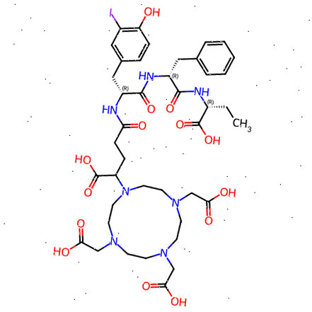 CC[C@@H](NC(=O)[C@@H](Cc1ccccc1)NC(=O)[C@@H](Cc1ccc(O)c(I)c1)NC(=O)CCC(C(=O)O)N1CCN(CC(=O)O)CCN(CC(=O)O)CCN(CC(=O)O)CC1)C(=O)O